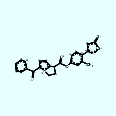 Cc1cc(OC(=O)C2CCn3c(C(=S)c4ccccc4)ccc32)ccc1-c1cc(=S)ss1